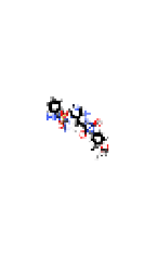 CC(c1ccncc1NS(=O)(=O)Nc1ccccc1)C1NC(=O)N(c2ccc(OC(F)(F)F)cc2)C1=O